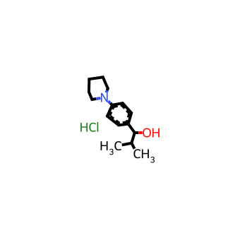 CC(C)C(O)c1ccc(N2CCCCC2)cc1.Cl